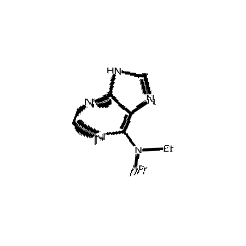 CCCN(CC)c1ncnc2[nH]cnc12